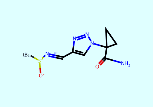 CC(C)(C)[S+]([O-])/N=C/c1cn(C2(C(N)=O)CC2)nn1